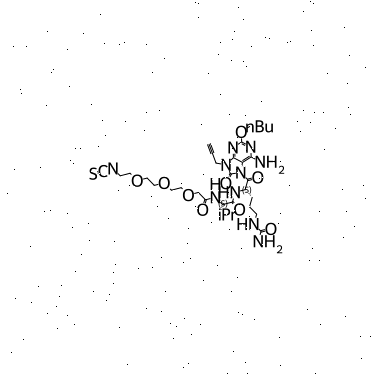 C#CCn1c(=O)n(C(=O)[C@H](CCCNC(N)=O)NC(=O)[C@@H](NC(=O)COCCOCCOCCN=C=S)C(C)C)c2c(N)nc(OCCCC)nc21